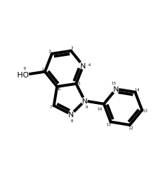 Oc1ccnc2c1cnn2-c1ccccn1